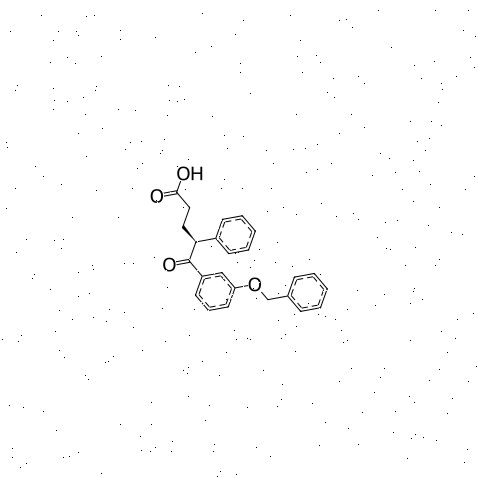 O=C(O)CC[C@H](C(=O)c1cccc(OCc2ccccc2)c1)c1ccccc1